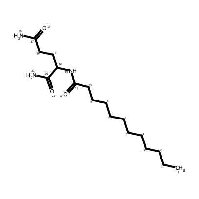 CCCCCCCCCCCC(=O)NC(CCC(N)=O)C(N)=O